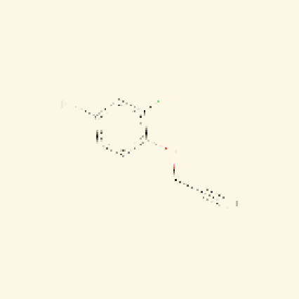 C#CCOc1ccc(Br)cc1F